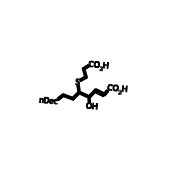 CCCCCCCCCCCCC(SCCC(=O)O)C(O)C=CC(=O)O